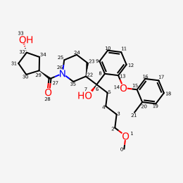 COCCCC[C@@](O)(c1ccccc1Oc1ccccc1C)[C@@H]1CCCN(C(=O)[C@H]2CC[C@H](O)C2)C1